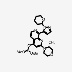 COP(OCC(C)C)Oc1cc(N2CCOC[C@H]2C)nc2c(-c3ccnn3C3CCCCO3)nccc12